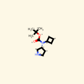 CC(C)(C)OC(=O)N(C1CCC1)[C@@H]1CCNC1